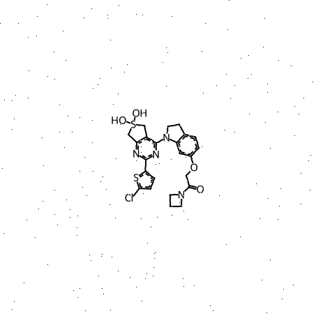 O=C(COc1ccc2c(c1)N(c1nc(-c3ccc(Cl)s3)nc3c1CS(O)(O)C3)CC2)N1CCC1